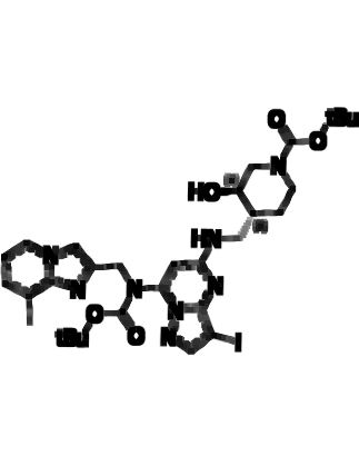 Cc1cccn2cc(CN(C(=O)OC(C)(C)C)c3cc(NC[C@H]4CCN(C(=O)OC(C)(C)C)C[C@@H]4O)nc4c(I)cnn34)nc12